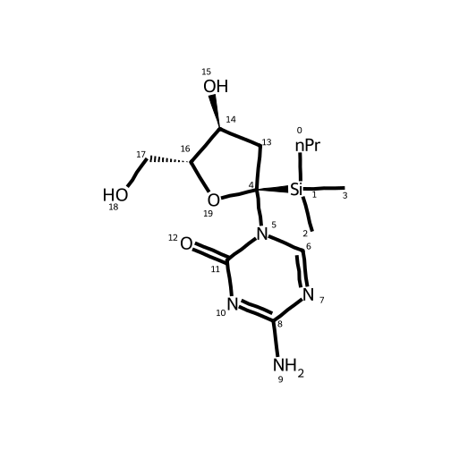 CCC[Si](C)(C)[C@]1(n2cnc(N)nc2=O)C[C@H](O)[C@@H](CO)O1